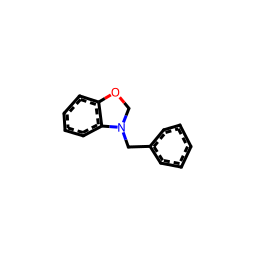 c1ccc(CN2COc3ccccc32)cc1